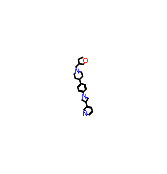 c1cncc(C2CN(c3ccc(C4CCN(CC5CCOC5)CC4)cc3)C2)c1